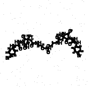 CC(C)C1(CC(=O)NCCO[PH](=O)OCCNC(=O)CC2(C(C)C)NC(=O)N(NC(=O)Nc3ccc(Br)cc3)C2=O)NC(=O)N(NC(=O)Nc2ccc(Br)cc2)C1=O